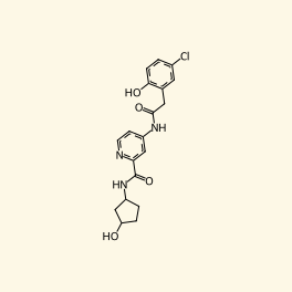 O=C(Cc1cc(Cl)ccc1O)Nc1ccnc(C(=O)NC2CCC(O)C2)c1